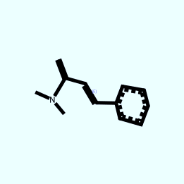 C=C(/C=C/c1ccccc1)N(C)C